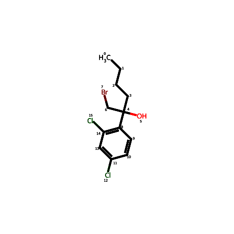 CCCCC(O)(CBr)c1ccc(Cl)cc1Cl